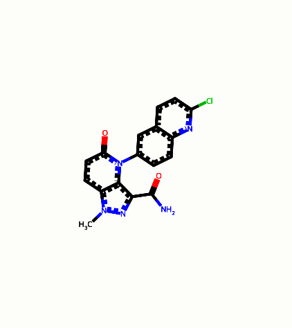 Cn1nc(C(N)=O)c2c1ccc(=O)n2-c1ccc2nc(Cl)ccc2c1